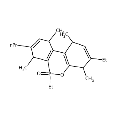 CCCC1=CC(C)C2=C(C1C)P(=O)(CC)OC1=C2C(C)C=C(CC)C1C